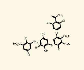 COc1c(Cl)ccc(Cl)c1C(=O)O.N#Cc1cc(Br)c(O)c(Br)c1.NC(=S)c1c(Cl)cccc1Cl.Nc1cc(Cl)cc(C(=O)O)c1Cl